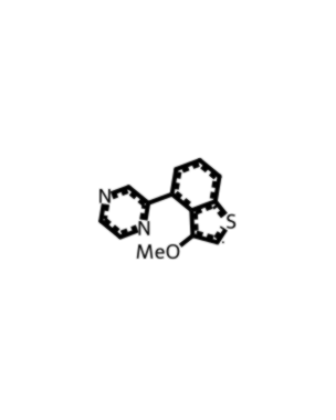 COc1[c]sc2cccc(-c3cnccn3)c12